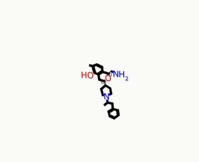 Cc1ccc2c(c1O)C[C@@H](C1CCN(C(C)Cc3ccccc3)CC1)O[C@H]2CN